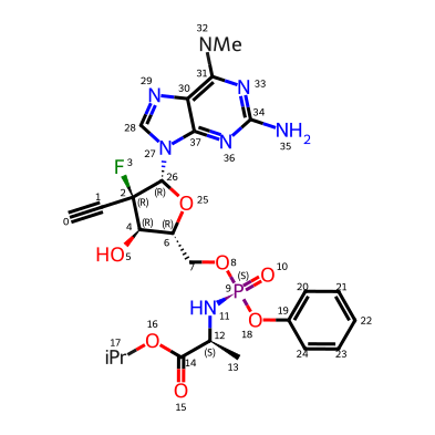 C#C[C@@]1(F)[C@H](O)[C@@H](CO[P@@](=O)(N[C@@H](C)C(=O)OC(C)C)Oc2ccccc2)O[C@H]1n1cnc2c(NC)nc(N)nc21